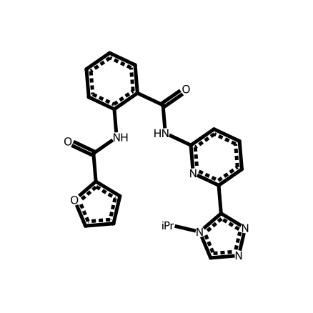 CC(C)n1cnnc1-c1cccc(NC(=O)c2ccccc2NC(=O)c2ccco2)n1